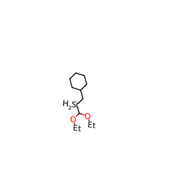 CCOC(OCC)[SiH2]CC1CCCCC1